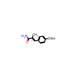 COc1ccc(/C=C(\C)C(N)=O)cc1